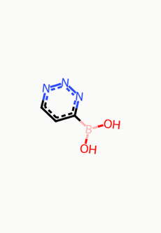 OB(O)c1ccnnn1